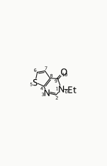 CCn1cnc2sccc2c1=O